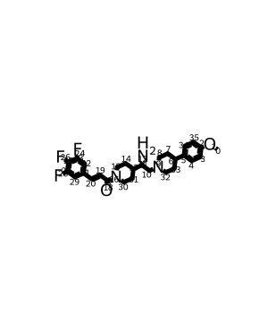 COc1ccc(C2CCN(CC(N)C3CCN(C(=O)/C=C/c4cc(F)c(F)c(F)c4)CC3)CC2)cc1